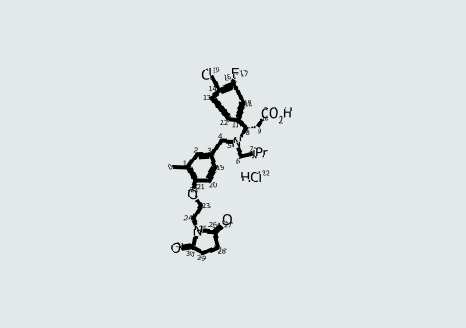 Cc1cc(CN(CC(C)C)[C@@H](CC(=O)O)c2ccc(Cl)c(F)c2)ccc1OCCN1C(=O)CCC1=O.Cl